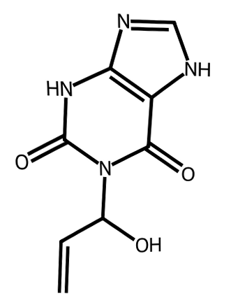 C=CC(O)n1c(=O)[nH]c2nc[nH]c2c1=O